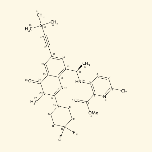 COC(=O)c1nc(Cl)ccc1N[C@H](C)c1cc(C#C[Si](C)(C)C)cc2c(=O)n(C)c(N3CCC(F)(F)CC3)nc12